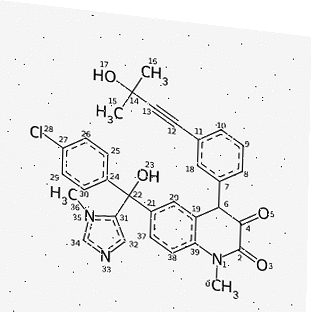 CN1C(=O)C(=O)C(c2cccc(C#CC(C)(C)O)c2)c2cc(C(O)(c3ccc(Cl)cc3)c3cncn3C)ccc21